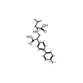 CC(C)CC(NCC(C(=O)O)c1ccc(-c2ccc(F)cc2)cc1)C(=O)O